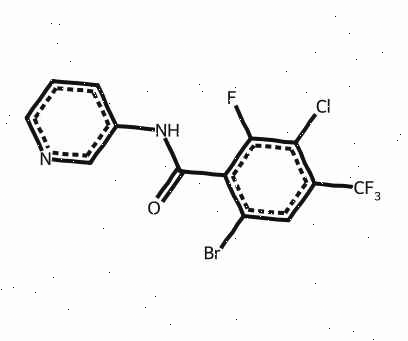 O=C(Nc1cccnc1)c1c(Br)cc(C(F)(F)F)c(Cl)c1F